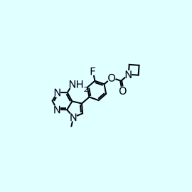 Cn1cc(-c2ccc(OC(=O)N3CCC3)c(F)c2)c2c(N)ncnc21